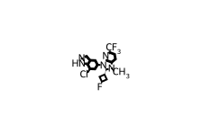 CN1c2ccc(C(F)(F)F)nc2N(c2cc(Cl)c3[nH]ncc3c2)C1[C@H]1C[C@@H](F)C1